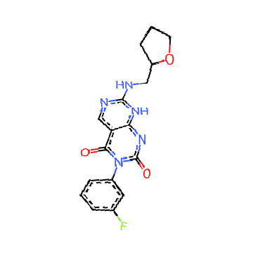 O=c1nc2[nH]c(NCC3CCCO3)ncc-2c(=O)n1-c1cccc(F)c1